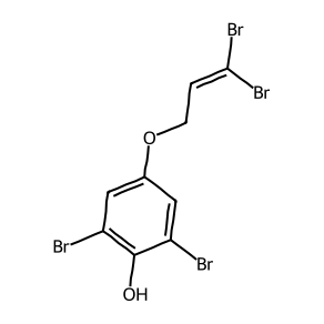 Oc1c(Br)cc(OCC=C(Br)Br)cc1Br